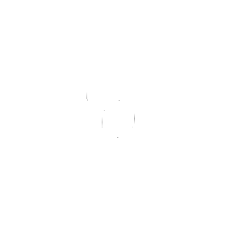 C=C(C(C)C)N1CCN(S(C)(=O)=O)CC1